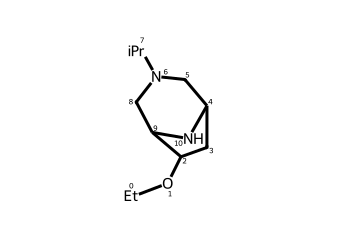 CCOC1CC2CN(C(C)C)CC1N2